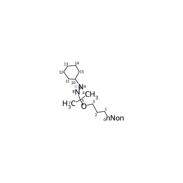 CCCCCCCCCCCCOC(C)(C)/N=N/C1CCCCC1